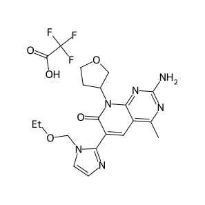 CCOCn1ccnc1-c1cc2c(C)nc(N)nc2n(C2CCOC2)c1=O.O=C(O)C(F)(F)F